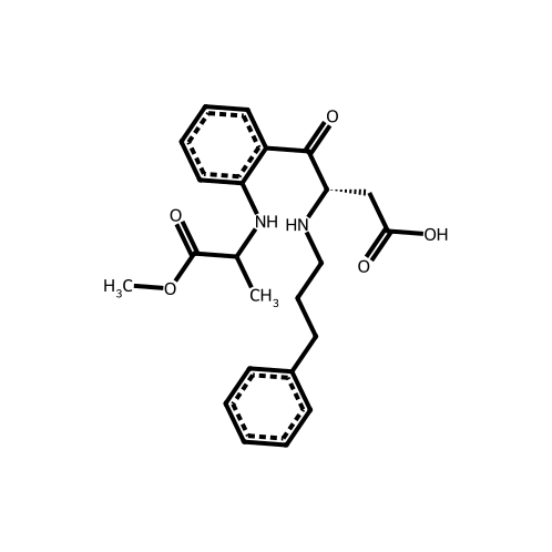 COC(=O)C(C)Nc1ccccc1C(=O)[C@H](CC(=O)O)NCCCc1ccccc1